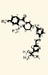 COc1cc(N)ccc1C(=O)N1CCC[C@@H](Nc2ncc(SCc3ncc(C(C)(C)C)o3)s2)C1